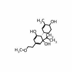 C=C(C)C1(O)C=C(CCOC)C=C(O)[C@@H]1C1C=C(C)C(O)CC1